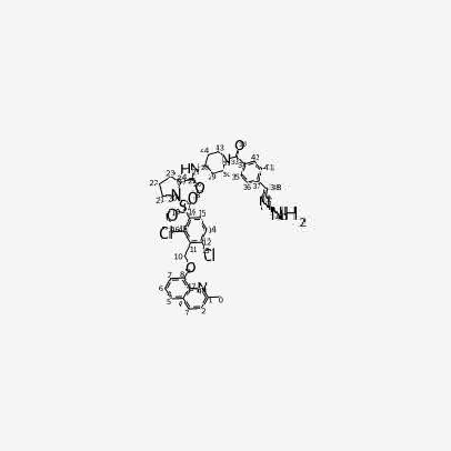 Cc1ccc2cccc(OCc3c(Cl)ccc(S(=O)(=O)N4CCC[C@H]4C(=O)NC4CCN(C(=O)c5ccc(C=NN)cc5)CC4)c3Cl)c2n1